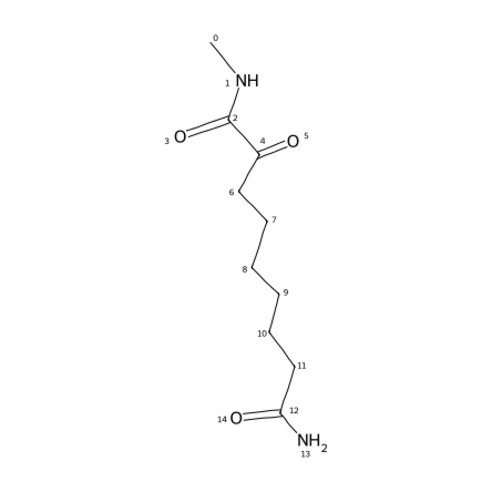 CNC(=O)C(=O)CCCCCCC(N)=O